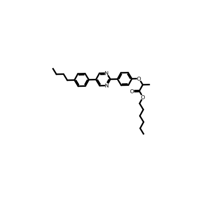 CCCCCCOC(=O)C(C)Oc1ccc(-c2ncc(-c3ccc(CCCC)cc3)cn2)cc1